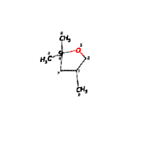 CC1CO[Si](C)(C)C1